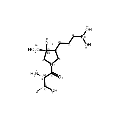 C[C@@H](O)[C@H](N)C(=O)N1CC(CCCB(O)O)[C@](N)(C(=O)O)C1